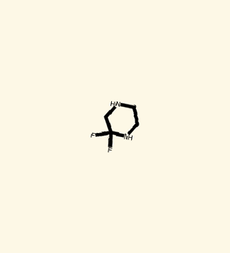 FC1(F)CNCCN1